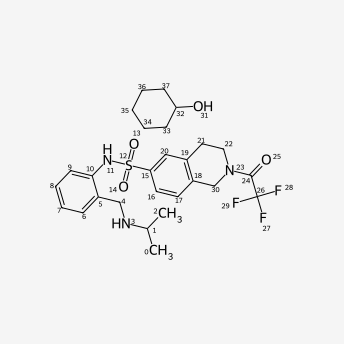 CC(C)NCc1ccccc1NS(=O)(=O)c1ccc2c(c1)CCN(C(=O)C(F)(F)F)C2.OC1CCCCC1